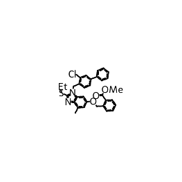 CCSc1nc2c(C)cc(OCc3ccccc3C(=O)OC)cc2n1Cc1ccc(-c2ccccc2)cc1Cl